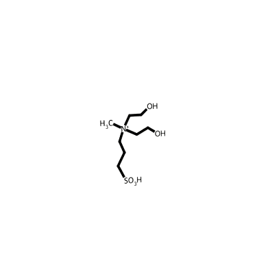 C[N+](CCO)(CCO)CCCS(=O)(=O)O